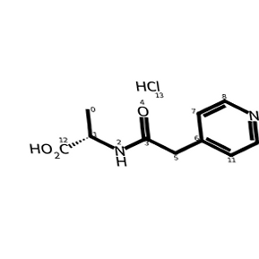 C[C@H](NC(=O)Cc1ccncc1)C(=O)O.Cl